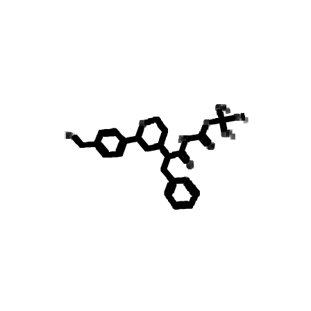 CC(C)(C)OC(=O)NC(=O)C(Cc1ccccc1)C1CCOC(c2ccc(CBr)cc2)C1